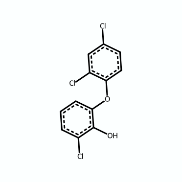 Oc1c(Cl)cccc1Oc1ccc(Cl)cc1Cl